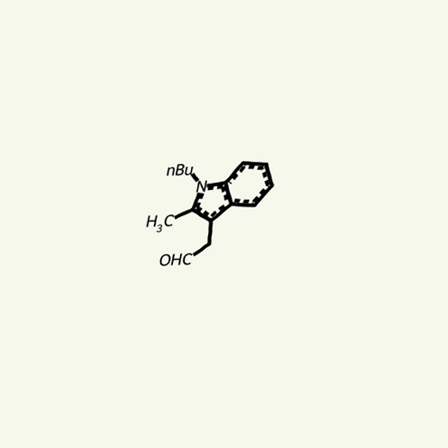 CCCCn1c(C)c(CC=O)c2ccccc21